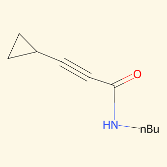 CCCCNC(=O)C#CC1CC1